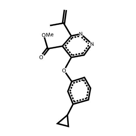 C=C(C)c1nncc(Oc2cccc(C3CC3)c2)c1C(=O)OC